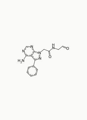 Nc1ncnc2c1c(-c1ccccc1)nn2CC(=O)NCC=O